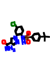 CC(C)(C)c1ccc(S(=O)(=O)Nc2ccc(Cl)cc2-n2cc(C(N)=O)cn2)cc1